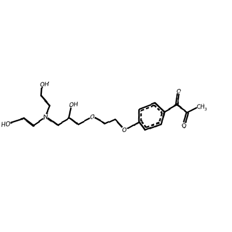 CC(=O)C(=O)c1ccc(OCCOCC(O)CN(CCO)CCO)cc1